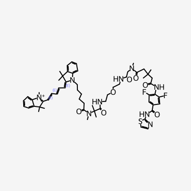 CN(CC(=O)NCCOCCNC(=O)C(C)(C)N(C)C(=O)CCCCCN1/C(=C/C=C/C=C/C2=[N+](C)c3ccccc3C2(C)C)C(C)(C)c2ccccc21)C(=O)CC(C)(C)CC(=O)Nc1c(F)cc(C(=O)Nc2nccs2)cc1F